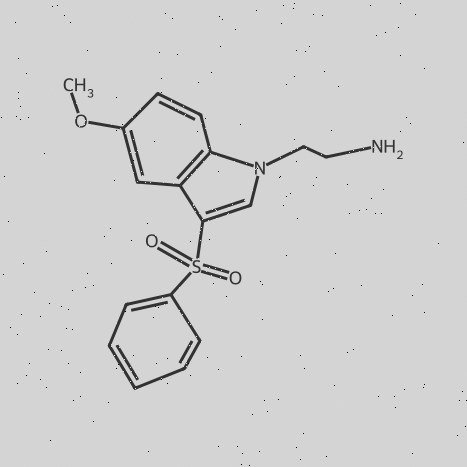 COc1ccc2c(c1)c(S(=O)(=O)c1ccccc1)cn2CCN